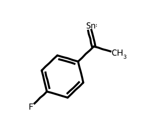 C[C](=[Sn])c1ccc(F)cc1